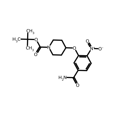 CC(C)(C)OC(=O)N1CCC(Oc2cc(C(N)=O)ccc2[N+](=O)[O-])CC1